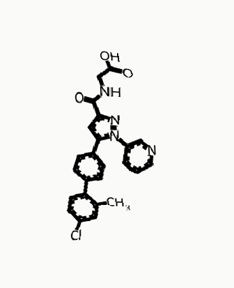 Cc1cc(Cl)ccc1-c1ccc(-c2cc(C(=O)NCC(=O)O)nn2-c2cccnc2)cc1